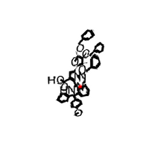 COc1ccc(C(Nc2ncnn3c([C@@H]4O[C@H](COCc5ccccc5)[C@@H](OCc5ccccc5)[C@@]4(C)OCc4ccccc4)cc(C(=O)O)c23)(c2ccccc2)c2ccccc2)cc1